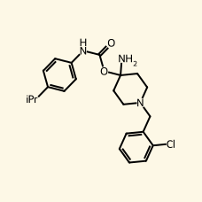 CC(C)c1ccc(NC(=O)OC2(N)CCN(Cc3ccccc3Cl)CC2)cc1